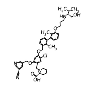 Cc1c(COc2cc(OCc3cncc(C#N)c3)c(CN3CCCC[C@H]3C(=O)O)cc2Cl)cccc1-c1cccc(OCCCN[C@H](CO)C(C)C)c1C